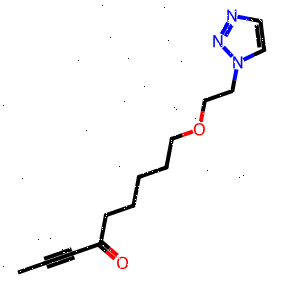 CC#CC(=O)CCCCCOCCn1ccnn1